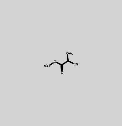 CCCCOC(=O)C(C#N)OC(C)=O